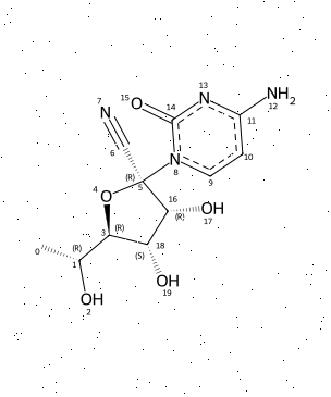 C[C@@H](O)[C@H]1O[C@@](C#N)(n2ccc(N)nc2=O)[C@H](O)[C@@H]1O